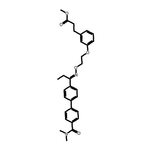 CC/C(=N\OCCOc1cccc(CCC(=O)OC)c1)c1ccc(-c2ccc(C(=O)N(C)C)cc2)cc1